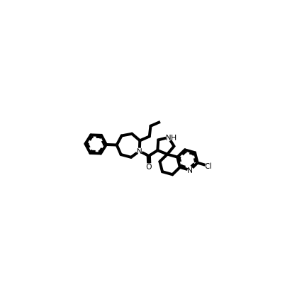 CCCC1CCC(c2ccccc2)CCN1C(=O)C1CNCC12CCCc1nc(Cl)ccc12